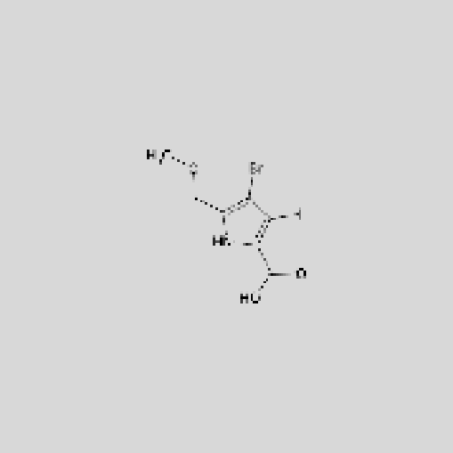 COCc1[nH]c(C(=O)O)c(I)c1Br